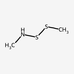 CNSSC